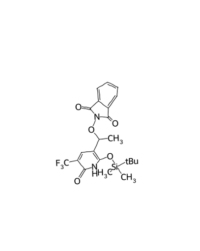 CC(ON1C(=O)c2ccccc2C1=O)c1cc(C(F)(F)F)c(=O)[nH]c1O[Si](C)(C)C(C)(C)C